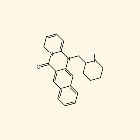 O=C1c2cc3ccccc3cc2N(CC2CCCCN2)C2=CC=CCN12